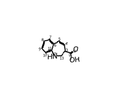 O=C(O)C1C=Cc2ccccc2NC1